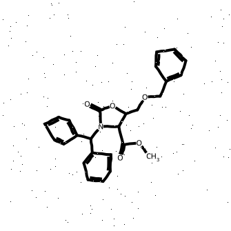 COC(=O)C1C(COCc2ccccc2)OC(=O)N1C(c1ccccc1)c1ccccc1